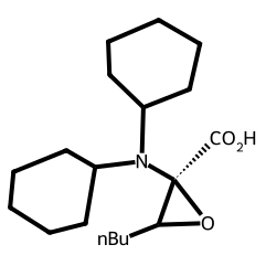 CCCCC1O[C@]1(C(=O)O)N(C1CCCCC1)C1CCCCC1